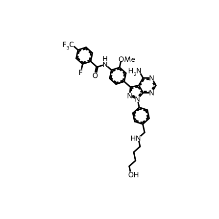 COc1cc(-c2nn(-c3ccc(CNCCCCO)cc3)c3ncnc(N)c23)ccc1NC(=O)c1ccc(C(F)(F)F)cc1F